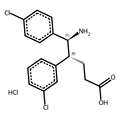 Cl.N[C@H](c1ccc(Cl)cc1)[C@H](CCC(=O)O)c1cccc(Cl)c1